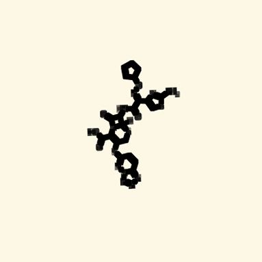 Nc1nc(C(=NOC2C=CCC2)C(=O)NC2C(=O)N3C(C(=O)O)=C(Sc4ccc5nnnn5n4)CS[C@@H]23)cs1